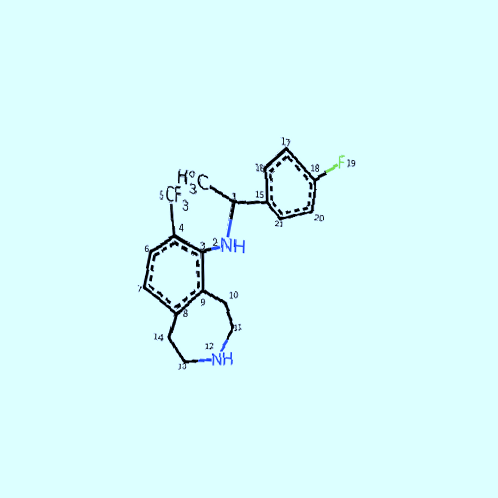 CC(Nc1c(C(F)(F)F)ccc2c1CCNCC2)c1ccc(F)cc1